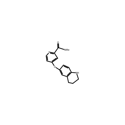 CNC(=O)c1cc(Oc2ccc3c(c2)CCCN3)ccn1